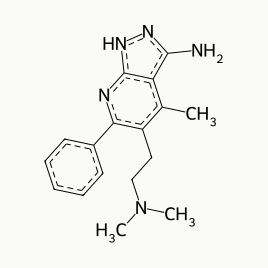 Cc1c(CCN(C)C)c(-c2ccccc2)nc2[nH]nc(N)c12